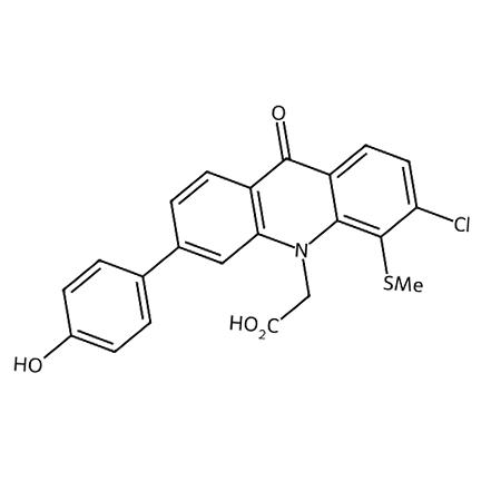 CSc1c(Cl)ccc2c(=O)c3ccc(-c4ccc(O)cc4)cc3n(CC(=O)O)c12